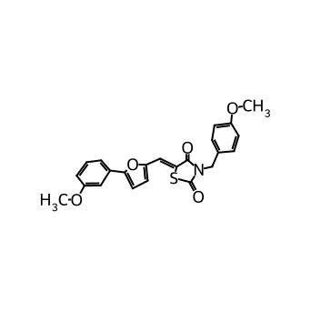 COc1ccc(CN2C(=O)S/C(=C\c3ccc(-c4cccc(OC)c4)o3)C2=O)cc1